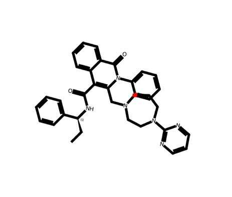 CC[C@H](NC(=O)c1c(CN2CCCN(c3ncccn3)CC2)n(-c2ccccc2)c(=O)c2ccccc12)c1ccccc1